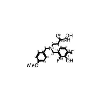 COc1ccc(CN(CCC(=O)NO)Cc2ccc(F)c(O)c2F)cc1